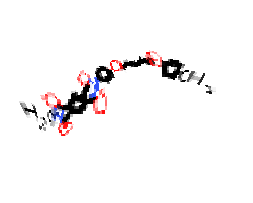 Cc1ccc(OCCCCCOc2ccc(-n3c(=O)c4cc5c(=O)n(C)c(=O)c5cc4c3=O)cc2)cc1